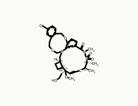 CO[C@]1(CCO)/C=C/C[C@H](C)[C@@H](C)S(=O)(=O)N(C)C(=O)c2ccc3c(c2)N(CCCCc2cc(Cl)ccc2CO3)C[C@@H]2CC[C@H]21